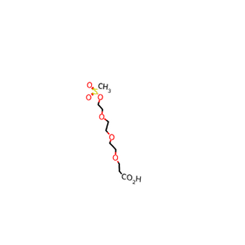 CS(=O)(=O)OCCOCCOCCOCCC(=O)O